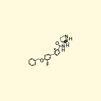 C[C@H]1[C@H](NC(=O)c2ccc(-c3ccc(OCc4ccccc4)c(F)c3)s2)C2CCN1CC2